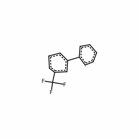 FC(F)(F)c1cccc(-c2[c]cccc2)c1